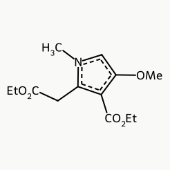 CCOC(=O)Cc1c(C(=O)OCC)c(OC)cn1C